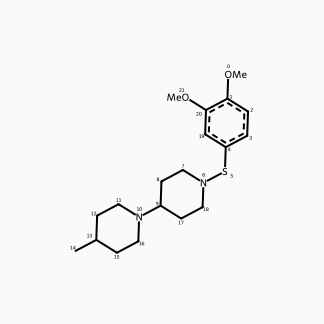 COc1ccc(SN2CCC(N3CCC(C)CC3)CC2)cc1OC